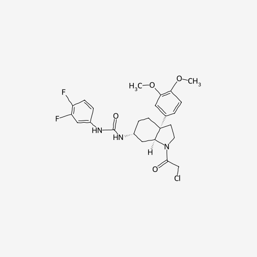 COc1ccc([C@@]23CC[C@@H](NC(=O)Nc4ccc(F)c(F)c4)C[C@@H]2N(C(=O)CCl)CC3)cc1OC